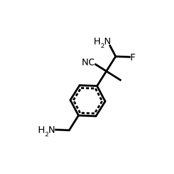 CC(C#N)(c1ccc(CN)cc1)C(N)F